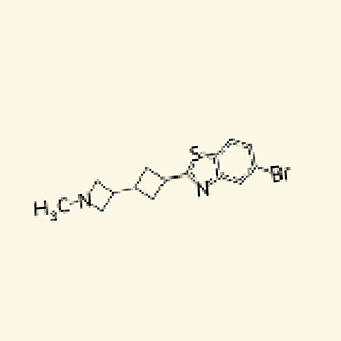 CN1CC(C2CC(c3nc4cc(Br)ccc4s3)C2)C1